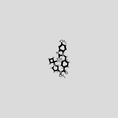 Cc1ccc2c(c1)nc(C)n2Cc1ccc(C(=O)N(C)C2CCN(C3(I)CCC3)C2)cc1